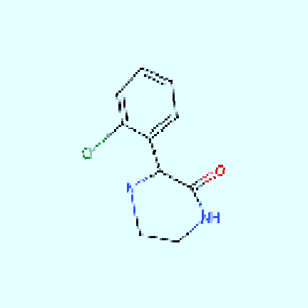 O=C1NCC[N]C1c1ccccc1Cl